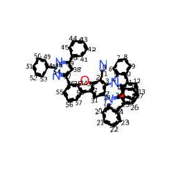 N#Cc1c(-n2c3ccccc3c3ccccc32)c(-n2c3ccccc3c3ccccc32)cc2c1oc1c(-c3cc(-c4ccccc4)nc(-c4ccccc4)n3)cccc12